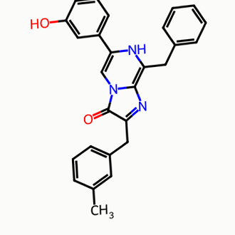 Cc1cccc(Cc2nc3c(Cc4ccccc4)[nH]c(-c4cccc(O)c4)cn-3c2=O)c1